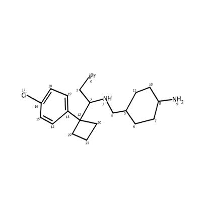 CC(C)CC(NCC1CCC(N)CC1)C1(c2ccc(Cl)cc2)CCC1